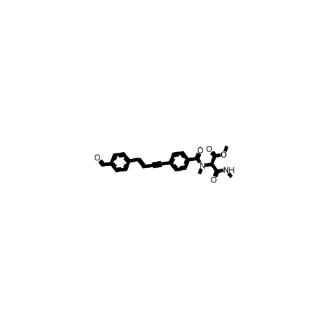 CNC(=O)C(C(=O)OC)N(C)C(=O)c1ccc(C#CC=Cc2ccc(C=O)cc2)cc1